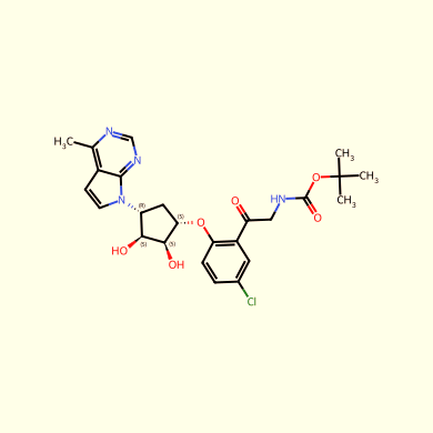 Cc1ncnc2c1ccn2[C@@H]1C[C@H](Oc2ccc(Cl)cc2C(=O)CNC(=O)OC(C)(C)C)[C@@H](O)[C@H]1O